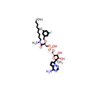 CCCCCCCCCCCCCCCCCCN(C)C(=O)[C@H](COP(=O)(O)OC[C@H]1O[C@@](C)(c2ccc3c(N)ncnn23)[C@H](O)[C@@H]1O)OCc1cc(F)cc(C#N)c1